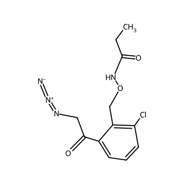 CCC(=O)NOCc1c(Cl)cccc1C(=O)CN=[N+]=[N-]